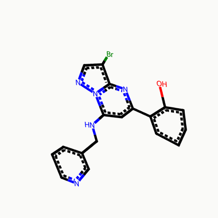 Oc1ccccc1-c1cc(NCc2cccnc2)n2ncc(Br)c2n1